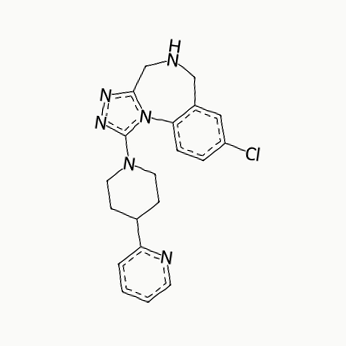 Clc1ccc2c(c1)CNCc1nnc(N3CCC(c4ccccn4)CC3)n1-2